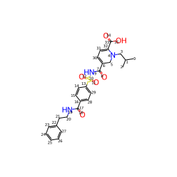 CC(C)CN1CC(C(=O)NS(=O)(=O)c2ccc(C(=O)NCCc3ccccc3)cc2)=CC=C1C(=O)O